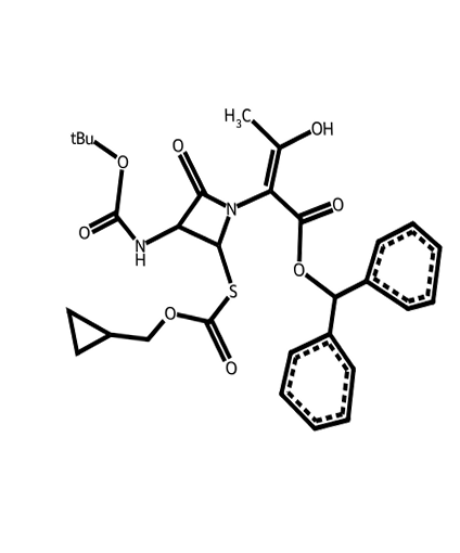 CC(O)=C(C(=O)OC(c1ccccc1)c1ccccc1)N1C(=O)C(NC(=O)OC(C)(C)C)C1SC(=O)OCC1CC1